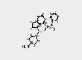 C[C@H](c1ccccc1)N(C)c1ncnn2ccc(CN3CCC(N)CC3)c12